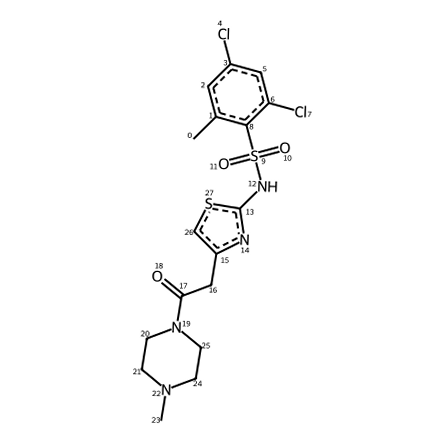 Cc1cc(Cl)cc(Cl)c1S(=O)(=O)Nc1nc(CC(=O)N2CCN(C)CC2)cs1